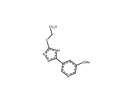 COc1cncc(-c2nnc(SCC(=O)O)[nH]2)c1